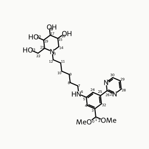 COC(OC)c1cc(NCCCCCCN2CC(O)C(O)C(O)C2CO)cc(-c2ncccn2)c1